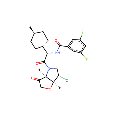 C[C@H]1CC[C@H]([C@H](NC(=O)c2cc(F)cc(F)c2)C(=O)N2C[C@H](Cl)[C@H]3OCC(=O)[C@H]32)CC1